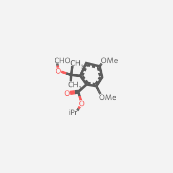 COc1cc(OC)c(C(=O)OC(C)C)c(C(C)(C)O[C]=O)c1